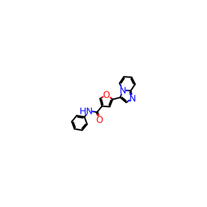 O=C(Nc1ccccc1)c1coc(-c2cnc3ccccn23)c1